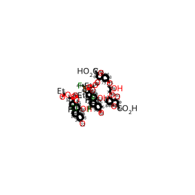 CCC(=O)OCC(=O)[C@@]1(OC(=O)CC)[C@@H](C)C[C@H]2[C@@H]3CCC4=CC(=O)C=C[C@]4(C)[C@@]3(Cl)[C@@H](O)C[C@@]21C.CCC(=O)O[C@]1(C(=O)SCF)[C@H](C)C[C@H]2[C@@H]3C[C@H](F)C4=CC(=O)C=C[C@]4(C)[C@@]3(F)[C@@H](O)C[C@@]21C.O=C(O)c1cc(=O)c2cc(OCC(O)COc3cccc4oc(C(=O)O)cc(=O)c34)ccc2o1